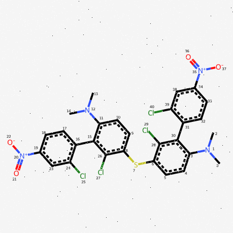 CN(C)c1ccc(Sc2ccc(N(C)C)c(-c3ccc([N+](=O)[O-])cc3Cl)c2Cl)c(Cl)c1-c1ccc([N+](=O)[O-])cc1Cl